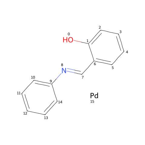 Oc1ccccc1C=Nc1ccccc1.[Pd]